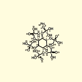 O=P(O)(O)O[C@H]1[C@H](OP(=O)(O)O)[C@@H](OP(=O)(O)O)[C@H](OP(=O)(O)O)[C@@H](OP(=O)(O)O)[C@H]1OP(=O)(O)O.P